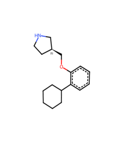 c1ccc(C2CCCCC2)c(OC[C@H]2CCNC2)c1